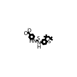 COC(=O)c1ccc(NC(=S)Nc2ccc3c(c2)C(C)(C)CC(C)(C)S3)cc1